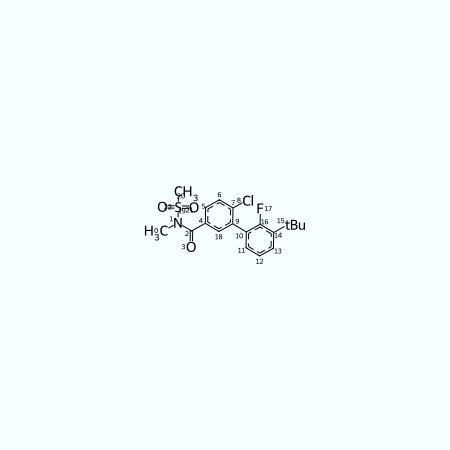 CN(C(=O)c1ccc(Cl)c(-c2cccc(C(C)(C)C)c2F)c1)S(C)(=O)=O